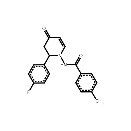 Cc1ccc(C(=O)NN2C=CC(=O)CC2c2ccc(F)cc2)cc1